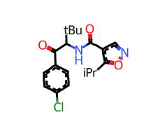 CC(C)c1oncc1C(=O)NC(C(=O)c1ccc(Cl)cc1)C(C)(C)C